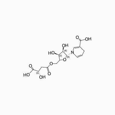 O=C(C[C@H](O)C(=O)O)OCC1O[C@@H](N2C=CCC(C(=O)O)=C2)[C@H](O)[C@@H]1O